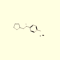 O=C(O)[C@H](CC1CCCC1)c1ccc(C[SH](=O)=O)cc1